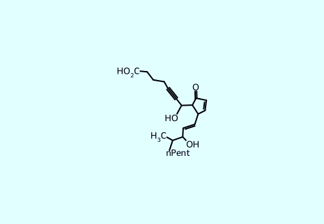 CCCCCC(C)C(O)C=CC1C=CC(=O)C1C(O)C#CCCCC(=O)O